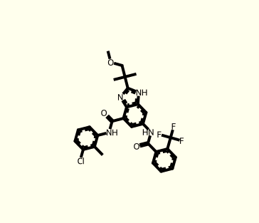 COCC(C)(C)c1nc2c(C(=O)Nc3cccc(Cl)c3C)cc(NC(=O)c3ccccc3C(F)(F)F)cc2[nH]1